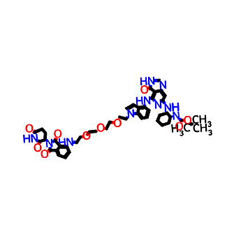 CC(C)(C)OC(=O)N[C@H]1CCCC[C@H]1Nc1cc2nc[nH]c(=O)c2c(Nc2cccc3c2ccn3CCOCCOCCOCCNc2cccc3c2C(=O)N(C2CCC(=O)NC2=O)C3=O)n1